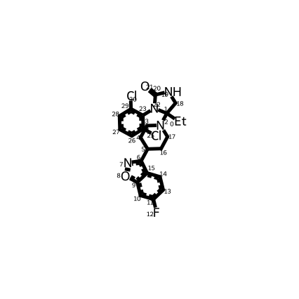 CCC1(N2CCC(c3noc4cc(F)ccc34)CC2)CNC(=O)N1c1c(Cl)cccc1Cl